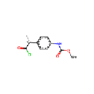 C[C@@H](C(=O)Cl)c1ccc(NC(=O)OC(C)(C)C)cc1